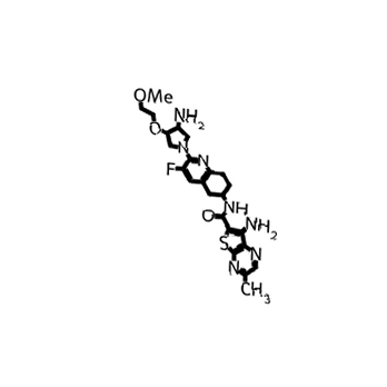 COCCOC1CN(c2nc3c(cc2F)CC(NC(=O)c2sc4nc(C)cnc4c2N)CC3)CC1N